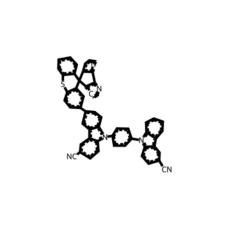 N#Cc1ccc2c(c1)c1ccccc1n2-c1ccc(-n2c3ccc(C#N)cc3c3cc(-c4ccc5c(c4)C4(c6ccccc6S5)c5cccnc5-c5ncccc54)ccc32)cc1